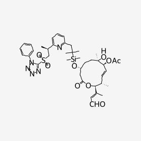 CC(=O)O[C@H]1/C=C/[C@H](C)[C@@H](/C(C)=C/C=O)OC(=O)C[C@H](O[Si](C)(C)C(C)(C)Cc2cccc([C@H](C)CS(=O)(=O)c3nnnn3-c3ccccc3)n2)CC[C@@]1(C)O